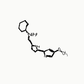 COC1=CC(=c2ccc(=CNC3CCCCC3)[nH]2)N=C1